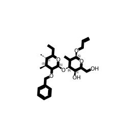 C=CCO[C@H]1OC(CO)[C@@H](O)[C@H](O[C@@H]2OC(CC)[C@@H](C)[C@H](C)C2OCc2ccccc2)C1C